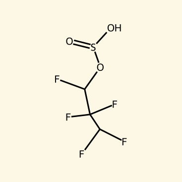 O=S(O)OC(F)C(F)(F)C(F)F